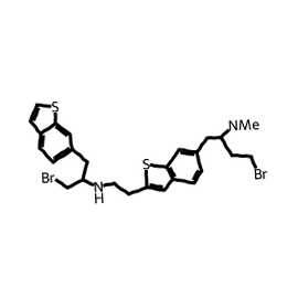 CNC(CCBr)Cc1ccc2cc(CCNC(CBr)Cc3ccc4ccsc4c3)sc2c1